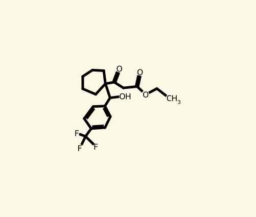 CCOC(=O)CC(=O)C1(C(O)c2ccc(C(F)(F)F)cc2)CCCCC1